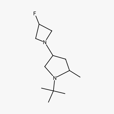 CC1CC(N2CC(F)C2)CN1C(C)(C)C